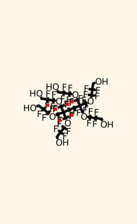 OCC(F)(F)C(F)(F)OC(F)(F)C(C(F)(F)OC(F)(F)C(F)(F)CO)(C(F)(F)OC(F)(F)C(F)(F)CO)C(F)(F)C(F)(F)C(C(F)(F)OC(F)(F)C(F)(F)CO)(C(F)(F)OC(F)(F)C(F)(F)CO)C(F)(F)OC(F)(F)C(F)(F)CO